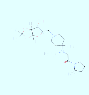 [C-]#[N+][C@@H]1CCCN1C(=O)CN(C(=O)OCC)C1(C)CCN(C[C@H]2O[C@@H]3OC(C)(C)O[C@@H]3[C@H]2O)CC1